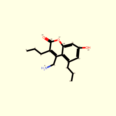 CCCc1c(CN)c2c(CCC)cc(O)cc2oc1=O